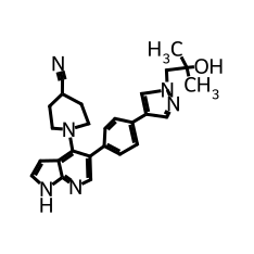 CC(C)(O)Cn1cc(-c2ccc(-c3cnc4[nH]ccc4c3N3CCC(C#N)CC3)cc2)cn1